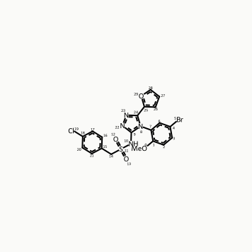 COc1ccc(Br)cc1-n1c(NS(=O)(=O)Cc2ccc(Cl)cc2)nnc1-c1ccco1